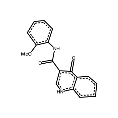 COc1ccccc1NC(=O)c1c[nH]c2ccccc2c1=O